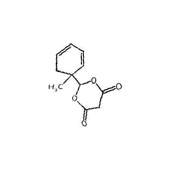 CC1(C2OC(=O)CC(=O)O2)C=CC=CC1